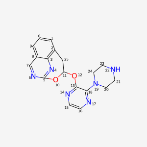 c1cc2c3nc(ncc3c1)OC(Oc1nccnc1N1CCNCC1)C2